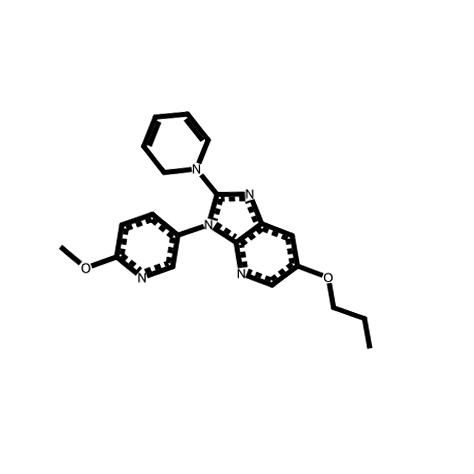 CCCOc1cnc2c(c1)nc(N1C=CC=CC1)n2-c1ccc(OC)nc1